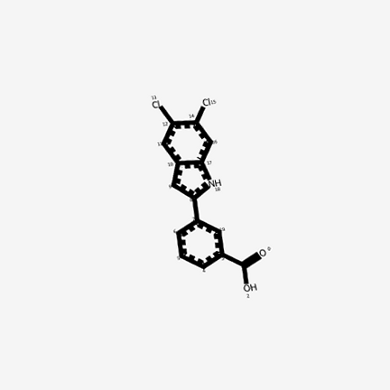 O=C(O)c1cccc(-c2cc3cc(Cl)c(Cl)cc3[nH]2)c1